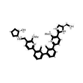 COc1nc(-c2cccc(-c3cccc(-c4ccc(C5=NC[C@@H](CO)N5)c(OC)n4)c3C)c2C)ccc1CN[C@@H]1CCC[C@@H]1O